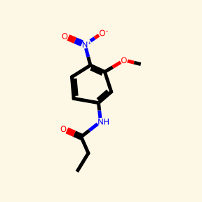 CCC(=O)Nc1ccc([N+](=O)[O-])c(OC)c1